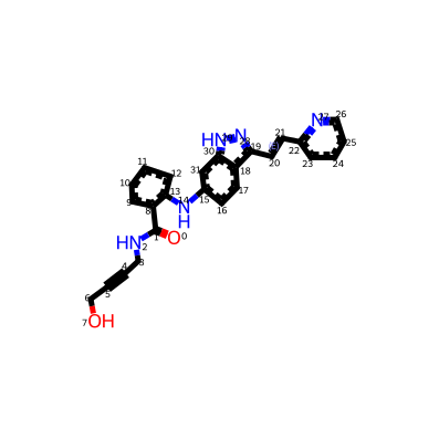 O=C(NCC#CCO)c1ccccc1Nc1ccc2c(/C=C/c3ccccn3)n[nH]c2c1